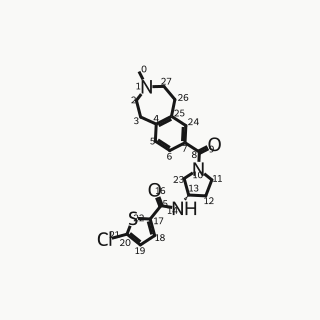 CN1CCc2ccc(C(=O)N3CC[C@H](NC(=O)c4ccc(Cl)s4)C3)cc2CC1